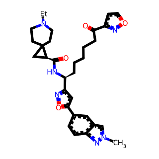 CCN1CCC2(CC1)C[C@@H]2C(=O)N[C@@H](CCCCCC(=O)c1ccon1)c1cc(-c2ccc3nn(C)cc3c2)on1